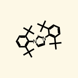 CC(C)(C)c1cccc(C(C)(C)C)c1N1[C]N(c2c(C(C)(C)C)cccc2C(C)(C)C)C=C1